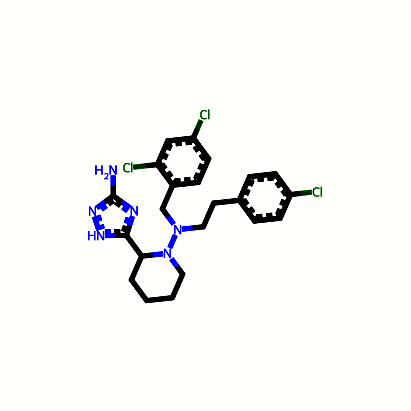 Nc1n[nH]c(C2CCCCN2N(CCc2ccc(Cl)cc2)Cc2ccc(Cl)cc2Cl)n1